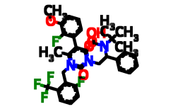 COc1cccc(-c2c(C)n(Cc3c(F)cccc3C(F)(F)F)c(=O)n(CC(c3ccccc3)N(C(=O)O)C(C)(C)C)c2=O)c1F